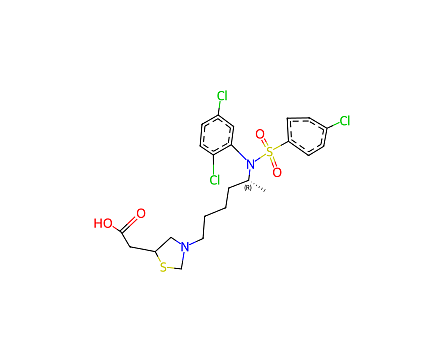 C[C@H](CCCCN1CSC(CC(=O)O)C1)N(c1cc(Cl)ccc1Cl)S(=O)(=O)c1ccc(Cl)cc1